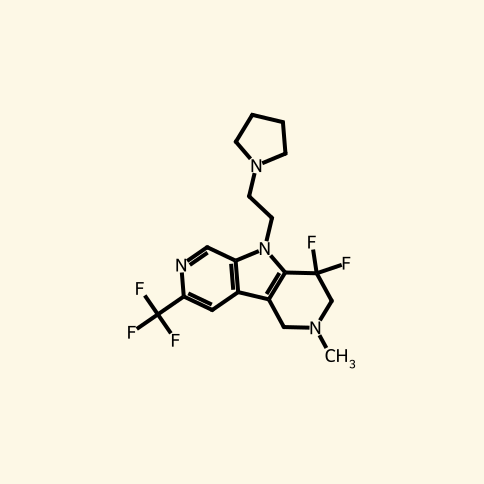 CN1Cc2c(n(CCN3CCCC3)c3cnc(C(F)(F)F)cc23)C(F)(F)C1